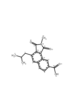 CC(C)Cc1cc2ccc(C(=O)O)cc2c2c1C(=O)N(C)C2=O